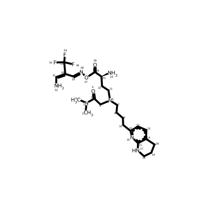 CN(C)C(=O)CN(CCCCc1ccc2c(n1)NCCC2)CC[C@H](N)C(=O)O/N=C/C(=C\N)C(F)(F)F